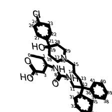 CCC(CC(=O)O)NC(=O)NCC(CCCN1CCC(O)(c2ccc(Cl)cc2)CC1)(c1ccccc1)c1ccccc1